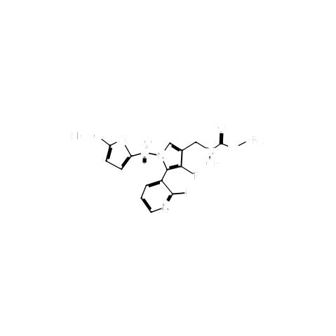 CN(Cc1cn(S(=O)(=O)c2ccc(C(=O)O)o2)c(-c2cccnc2F)c1F)C(=O)OC(C)(C)C